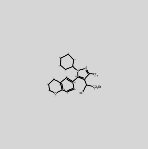 CCOC(=O)C(O)c1c(C(F)(F)F)nn(C2CCCCC2)c1-c1ccc2c(c1)CCCO2